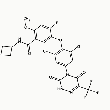 COc1cc(F)c(Oc2c(Cl)cc(-n3c(=O)[nH]nc(C(F)(F)F)c3=O)cc2Cl)cc1C(=O)NC1CCC1